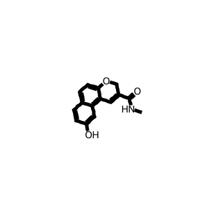 CNC(=O)C1=Cc2c(ccc3ccc(O)cc23)OC1